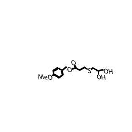 COc1ccc(COC(=O)CCSCC(O)CO)cc1